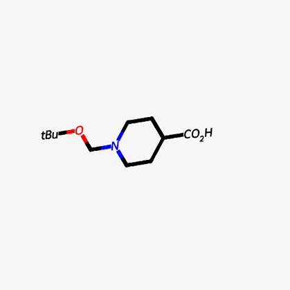 CC(C)(C)OCN1CCC(C(=O)O)CC1